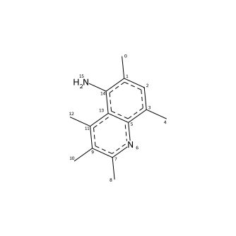 Cc1cc(C)c2nc(C)c(C)c(C)c2c1N